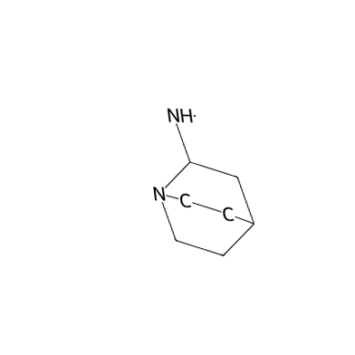 [NH]C1CC2CCN1CC2